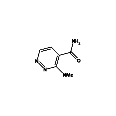 CNc1nnccc1C(N)=O